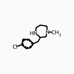 CN1CCCNC(Cc2ccc(Cl)cc2)C1